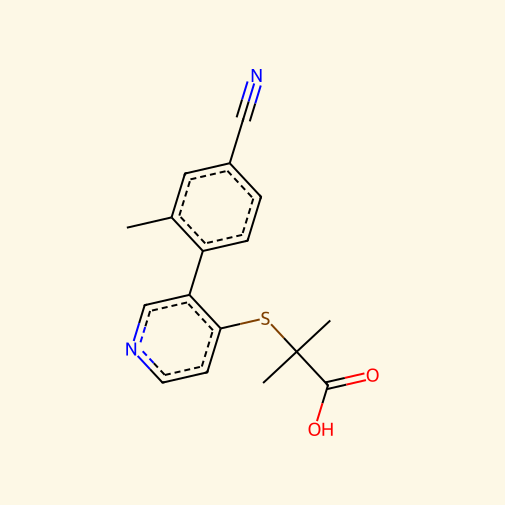 Cc1cc(C#N)ccc1-c1cnccc1SC(C)(C)C(=O)O